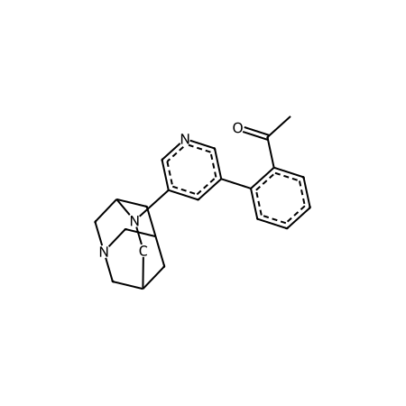 CC(=O)c1ccccc1-c1cncc(N2CC3CC4CC2CN(C4)C3)c1